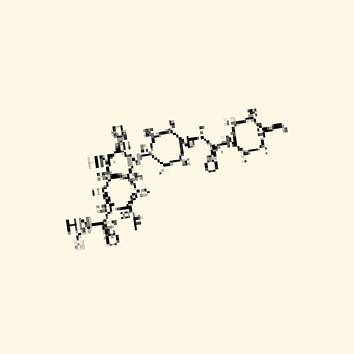 C=C1CCN(C(=O)CN2CCC(n3c(=O)[nH]c4cc(C(=O)NC)c(F)cc43)CC2)CC1